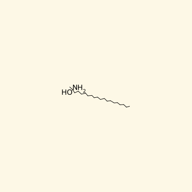 CCCCCCCCCCCCCCCCCCC(C)(N)O